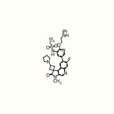 CC(C)NCCOc1ncc(-c2cc3c4c(cnc3cc2F)N(C)C(=O)C42CC(N3CCCC3)C2)cc1NS(C)(=O)=O